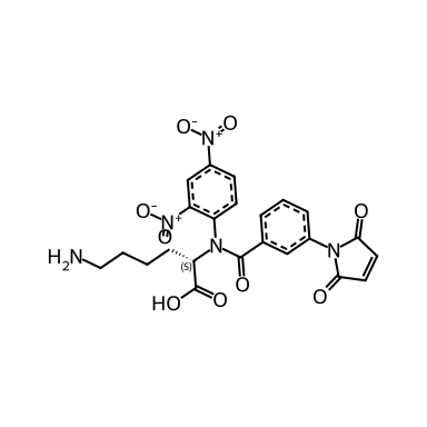 NCCCC[C@@H](C(=O)O)N(C(=O)c1cccc(N2C(=O)C=CC2=O)c1)c1ccc([N+](=O)[O-])cc1[N+](=O)[O-]